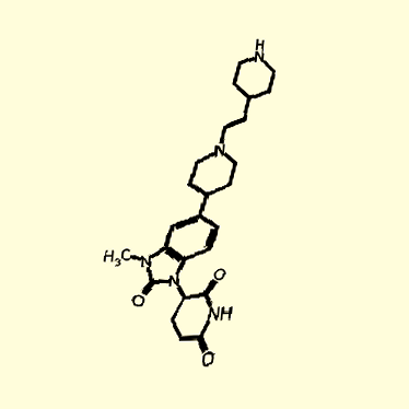 Cn1c(=O)n(C2CCC(=O)NC2=O)c2ccc(C3CCN(CCC4CCNCC4)CC3)cc21